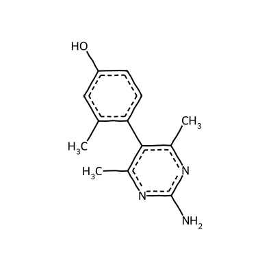 Cc1cc(O)ccc1-c1c(C)nc(N)nc1C